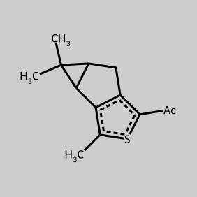 CC(=O)c1sc(C)c2c1CC1C2C1(C)C